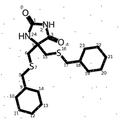 O=C1NC(=O)C(CSCC2CCCCC2)(CSCC2CCCCC2)N1